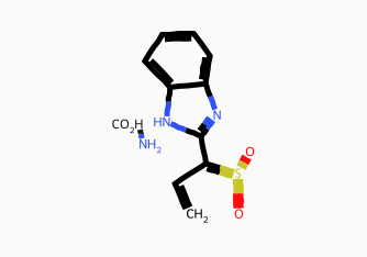 C=CC(c1nc2ccccc2[nH]1)=S(=O)=O.NC(=O)O